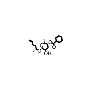 C=CCC[C@@H](C)O[C@@H]1O[C@@H](C)[C@H](OC(=O)c2ccccc2)C[C@H]1O